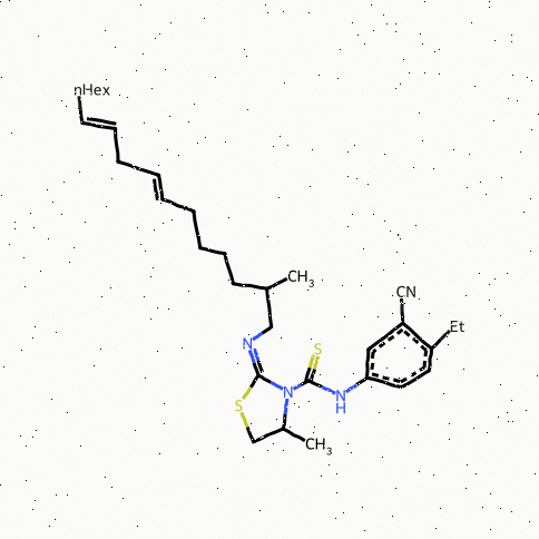 CCCCCC/C=C/C/C=C/CCCCC(C)C/N=C1/SCC(C)N1C(=S)Nc1ccc(CC)c(C#N)c1